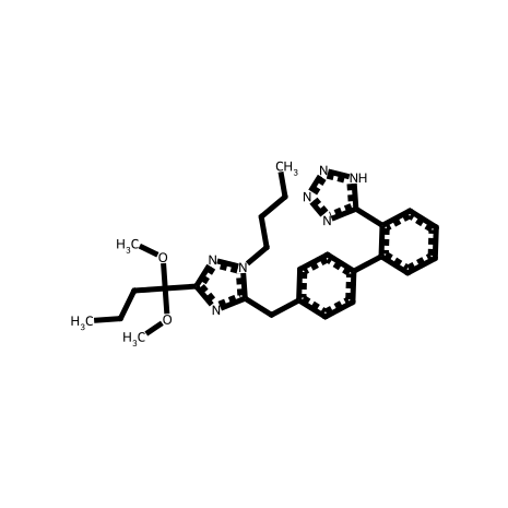 CCCCn1nc(C(CCC)(OC)OC)nc1Cc1ccc(-c2ccccc2-c2nnn[nH]2)cc1